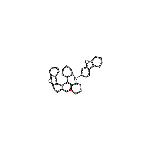 c1ccc(N(c2ccc3c(c2)oc2ccccc23)c2ccccc2-c2cccc3ccc4oc5ccccc5c4c23)cc1